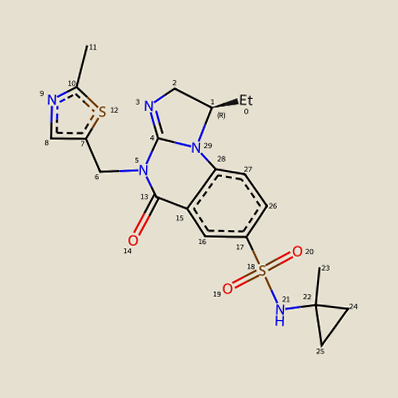 CC[C@@H]1CN=C2N(Cc3cnc(C)s3)C(=O)c3cc(S(=O)(=O)NC4(C)CC4)ccc3N21